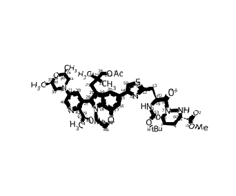 COC(=O)[C@@H]1CCCN(C(=O)[C@H](Cc2nc(-c3cc4c5c(c3)c(CC(C)(C)COC(C)=O)c(-c3cc(N6C[C@@H](C)O[C@H](C)C6)cnc3[C@H](C)OC)n5CCO4)cs2)NC(=O)OC(C)(C)C)N1